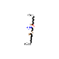 CCCCCCCCCCCCCCCC(=S)OC(N)CCSC(=S)CCCCCCCCCCCCCCC